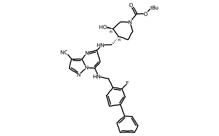 CC(C)(C)OC(=O)N1CC[C@H](CNc2cc(NCc3ccc(-c4ccccc4)cc3F)n3ncc(C#N)c3n2)[C@@H](O)C1